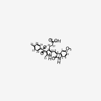 COc1ccc2c(c1)/C(=C/c1[nH]c(C)c(S(=O)(=O)c3ccc(C)cc3)c1CCC(=O)O)C(=O)N2